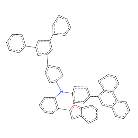 c1ccc(-c2cc(-c3ccccc3)cc(-c3ccc(N(c4ccc(-c5cc6ccccc6c6ccccc56)cc4)c4ccccc4-c4cc5ccccc5o4)cc3)c2)cc1